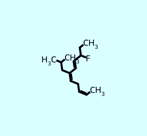 C/C=C\C/C=C(\C=CC(F)CC)CC(C)C